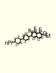 CCCC1CCC(c2ccc(-c3cc4ccc(OCC)c(F)c4c(F)c3F)cc2)CC1